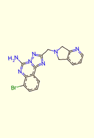 Nc1nc2c(Br)cccc2c2nc(CN3Cc4cccnc4C3)nn12